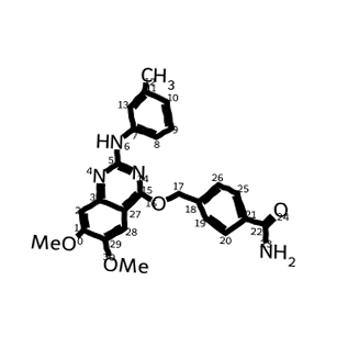 COc1cc2nc(Nc3cccc(C)c3)nc(OCc3ccc(C(N)=O)cc3)c2cc1OC